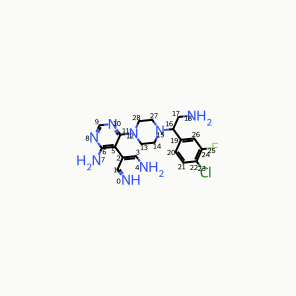 N=C/C(=C\N)c1c(N)ncnc1N1CCN(C(CN)c2ccc(Cl)c(F)c2)CC1